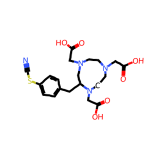 N#CSc1ccc(CC2CN(CC(=O)O)CCN(CC(=O)O)CCN2CC(=O)O)cc1